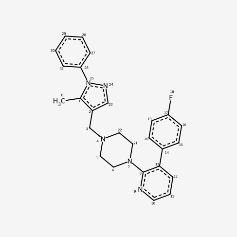 Cc1c(CN2CCN(c3ncccc3-c3ccc(F)cc3)CC2)cnn1-c1ccccc1